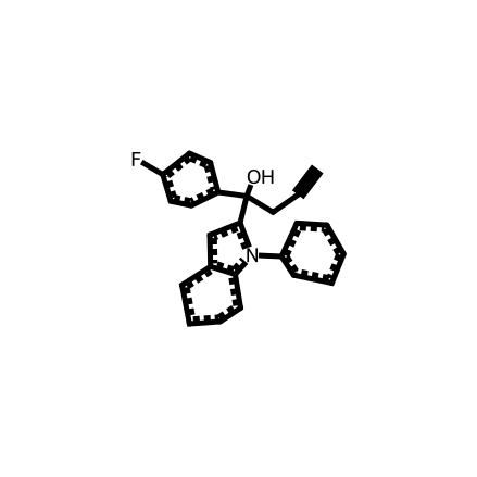 C#CCC(O)(c1ccc(F)cc1)c1cc2ccccc2n1-c1ccccc1